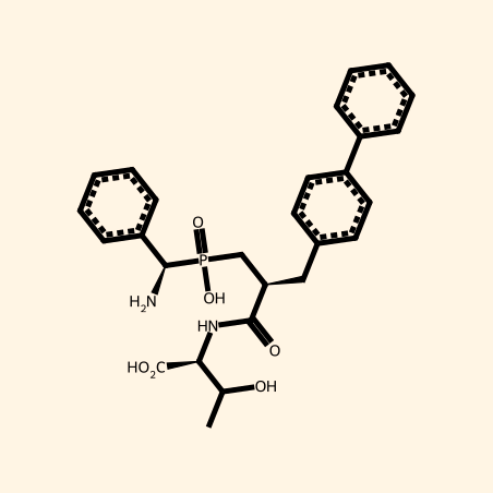 CC(O)[C@H](NC(=O)[C@H](Cc1ccc(-c2ccccc2)cc1)CP(=O)(O)[C@@H](N)c1ccccc1)C(=O)O